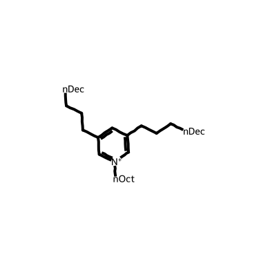 CCCCCCCCCCCCCc1cc(CCCCCCCCCCCCC)c[n+](CCCCCCCC)c1